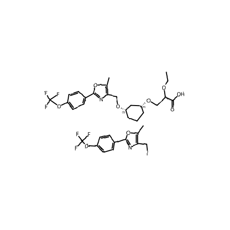 CCOC(CO[C@@H]1CCC[C@H](OCc2nc(-c3ccc(OC(F)(F)F)cc3)oc2C)C1)C(=O)O.Cc1oc(-c2ccc(OC(F)(F)F)cc2)nc1CI